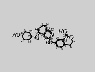 OB1OCCc2ccc(Nc3ncc4cccc(O[C@H]5CC[C@@H](O)CC5)c4n3)cc21